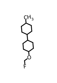 CC1CCC(C2CCC(OCF)CC2)CC1